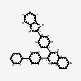 c1ccc(-c2ccc(-c3nc4ccccc4nc3-c3ccc(-c4nc5ccccc5o4)cc3)cc2)cc1